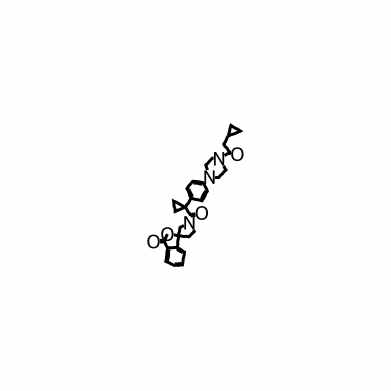 O=C1OC2(CCN(C(=O)C3(c4ccc(N5CCN(C(=O)CC6CC6)CC5)cc4)CC3)C2)c2ccccc21